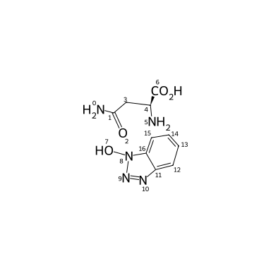 NC(=O)C[C@H](N)C(=O)O.On1nnc2ccccc21